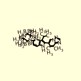 BC1(B)NC(B)(B)C(B)(B)N(c2ccc3[nH]c(-c4cn5ncnc5c(C)c4C)c(C(C)C)c3n2)C1(B)B